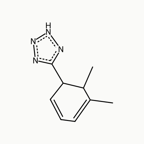 CC1=CC=CC(c2nn[nH]n2)C1C